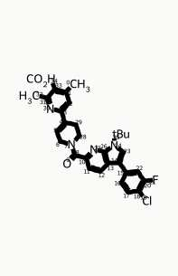 Cc1cc(C2=CCN(C(=O)c3ccc4c(-c5ccc(Cl)c(F)c5)cn(C(C)(C)C)c4n3)CC2)nc(C)c1C(=O)O